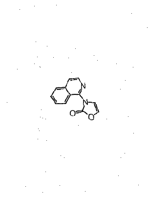 O=c1occn1-c1nccc2ccccc12